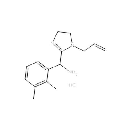 C=CCN1CCN=C1C(N)c1cccc(C)c1C.Cl